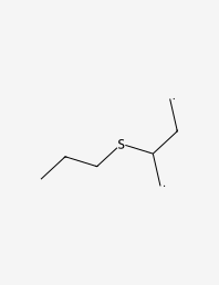 [CH2]CC([CH2])SCCC